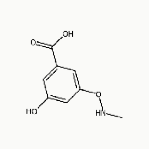 CNOc1cc(O)cc(C(=O)O)c1